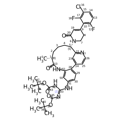 C[C@@H]1CCC[C@H](N2CCC(c3c(F)ccc(Cl)c3F)=CC2=O)c2cc(ccn2)-c2ccc(N/C(=N/C(=O)OC(C)(C)C)NC(=O)OC(C)(C)C)cc2NC1=O